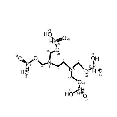 O=[PH](O)OCN(CCN(CO[PH](=O)O)CO[PH](=O)O)CO[PH](=O)O